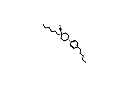 CCCCCC[C@]1(C#N)CC[C@H](c2ccc(CCCCC)cc2)CC1